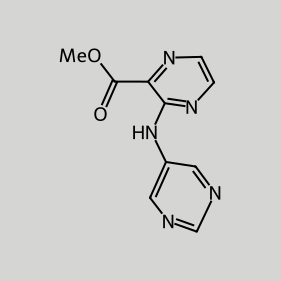 COC(=O)c1nccnc1Nc1cncnc1